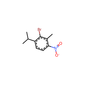 Cc1c([N+](=O)[O-])ccc(C(C)C)c1Br